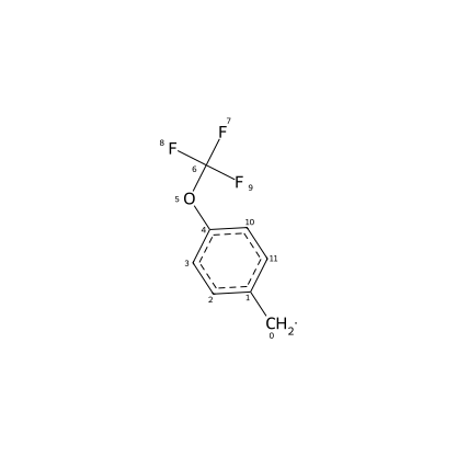 [CH2]c1ccc(OC(F)(F)F)cc1